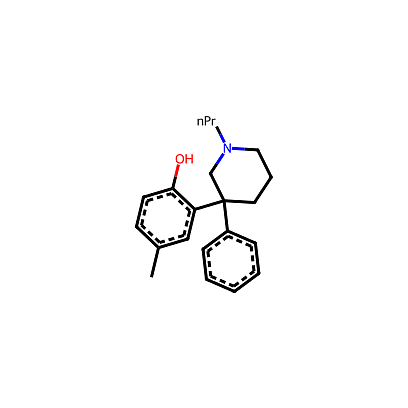 CCCN1CCCC(c2ccccc2)(c2cc(C)ccc2O)C1